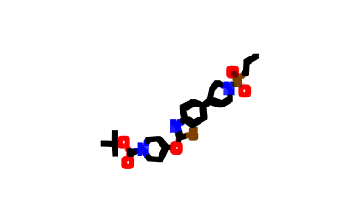 CCCS(=O)(=O)N1CC=C(c2ccc3nc(OC4CCN(C(=O)OC(C)(C)C)CC4)sc3c2)CC1